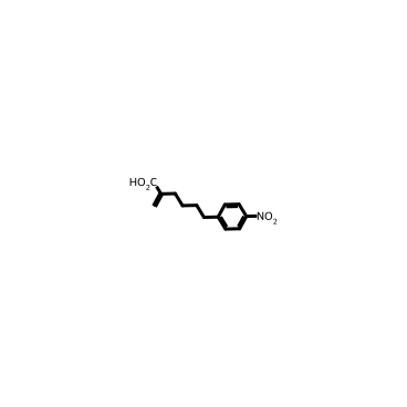 C=C(CCCCc1ccc([N+](=O)[O-])cc1)C(=O)O